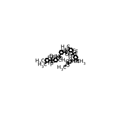 CCOC(=O)CC(=O)Nc1cc(C(c2ccc(C)c(NC(=O)c3cccc(C(=O)Nc4cc(C(c5ccc(C)c(C)c5)(C(F)(F)F)C(F)(F)F)ccc4C)c3)c2)(C(F)(F)F)C(F)(F)F)ccc1C